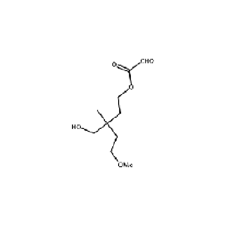 COCCC(C)(CO)CCOC(=O)C=O